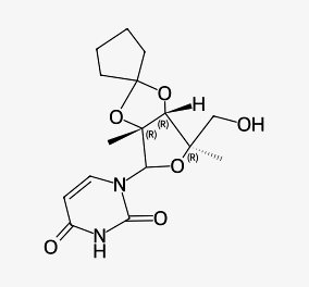 C[C@]1(CO)OC(n2ccc(=O)[nH]c2=O)[C@]2(C)OC3(CCCC3)O[C@H]12